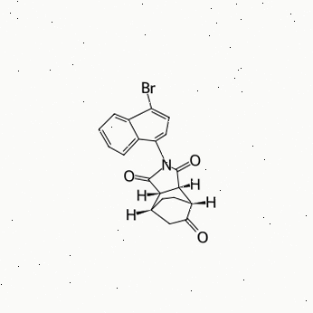 O=C1C[C@H]2CC[C@@H]1[C@H]1C(=O)N(c3ccc(Br)c4ccccc34)C(=O)[C@@H]21